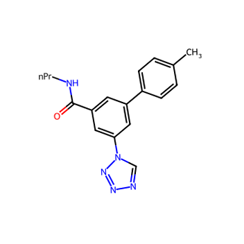 CCCNC(=O)c1cc(-c2ccc(C)cc2)cc(-n2cnnn2)c1